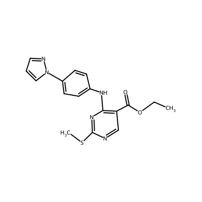 CCOC(=O)c1cnc(SC)nc1Nc1ccc(-n2cccn2)cc1